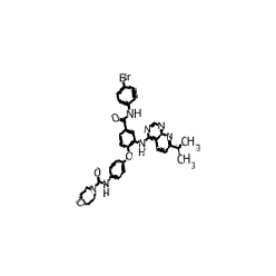 CC(C)c1ccc2c(Nc3cc(C(=O)Nc4ccc(Br)cc4)ccc3Oc3ccc(NC(=O)N4CCOCC4)cc3)ncnc2n1